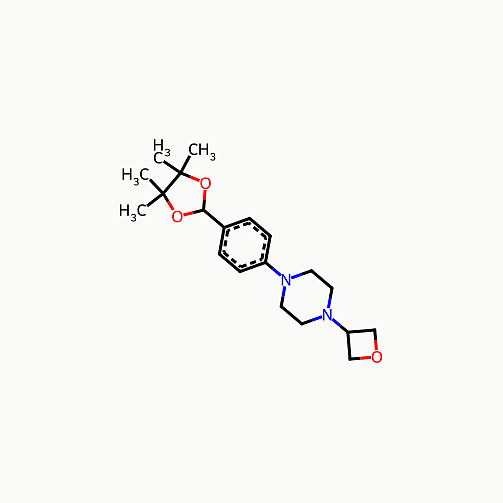 CC1(C)OC(c2ccc(N3CCN(C4COC4)CC3)cc2)OC1(C)C